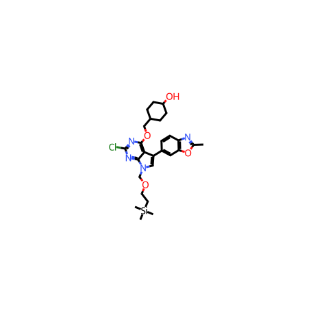 Cc1nc2ccc(-c3cn(COCC[Si](C)(C)C)c4nc(Cl)nc(OCC5CCC(O)CC5)c34)cc2o1